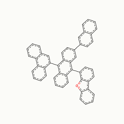 c1ccc2cc(-c3ccc4c(-c5cc6ccccc6c6ccccc56)c5ccccc5c(-c5cccc6c5oc5ccccc56)c4c3)ccc2c1